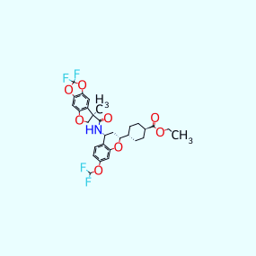 CCOC(=O)[C@H]1CC[C@H]([C@H]2C[C@@H](NC(=O)[C@@]3(C)COc4cc5c(cc43)OC(F)(F)O5)c3ccc(OC(F)F)cc3O2)CC1